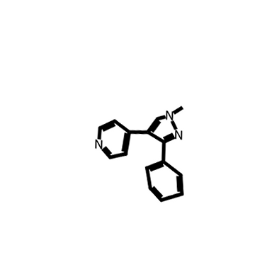 Cn1cc(-c2ccncc2)c(-c2ccccc2)n1